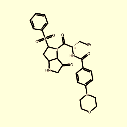 CC(C)C[C@H](NC(=O)c1ccc(N2CCOCC2)cc1)C(=O)N1C2C(=O)CNC2CC1S(=O)(=O)c1ccccc1